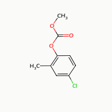 COC(=O)Oc1ccc(Cl)cc1C